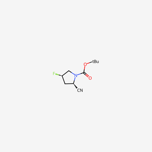 CC(C)(C)OC(=O)N1C[C@H](F)C[C@@H]1C#N